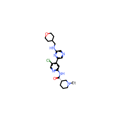 CCN1CCC[C@H](C(=O)Nc2cc(-c3cncc(NCC4CCOCC4)n3)c(Cl)cn2)C1